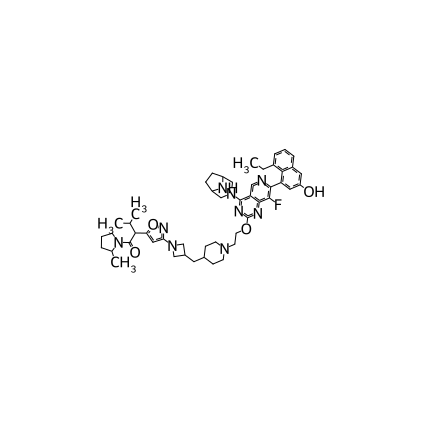 CCc1cccc2cc(O)cc(-c3ncc4c(N5CC6CCC(C5)N6)nc(OCCN5CCC(CC6CN(c7cc(C(C(=O)N8CCCC8C)C(C)C)on7)C6)CC5)nc4c3F)c12